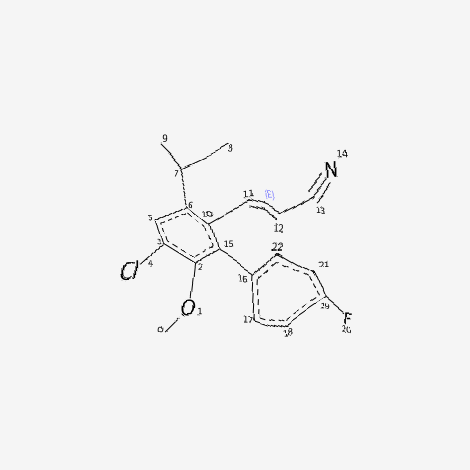 COc1c(Cl)cc(C(C)C)c(/C=C/C#N)c1-c1ccc(F)cc1